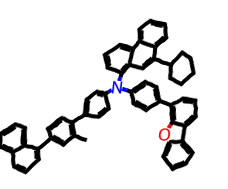 Cc1cc(-c2cccc3ccccc23)ccc1-c1ccc(N(c2ccc(-c3cccc4c3oc3ccccc34)cc2)c2cccc3c2cc(C2CCCCC2)c2ccccc23)cc1